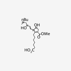 CCCC[C@@H](C)C[C@H](O)C=C[C@@H]1C(CCCCCCC(=O)O)=C(C(=O)OC)C[C@H]1O